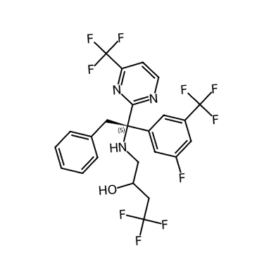 OC(CN[C@@](Cc1ccccc1)(c1cc(F)cc(C(F)(F)F)c1)c1nccc(C(F)(F)F)n1)CC(F)(F)F